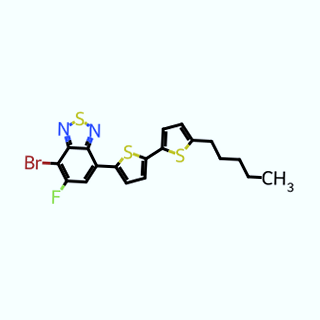 CCCCCc1ccc(-c2ccc(-c3cc(F)c(Br)c4nsnc34)s2)s1